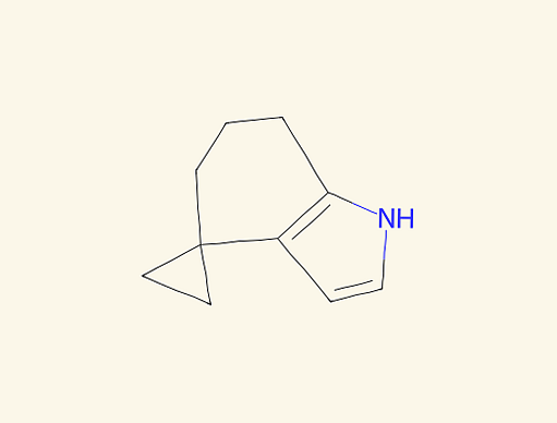 c1cc2c([nH]1)CCCC21CC1